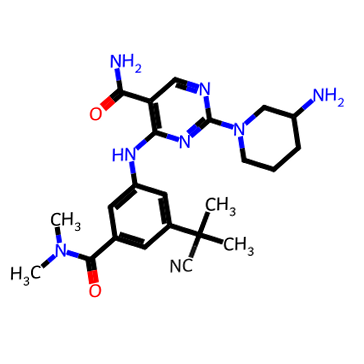 CN(C)C(=O)c1cc(Nc2nc(N3CCCC(N)C3)ncc2C(N)=O)cc(C(C)(C)C#N)c1